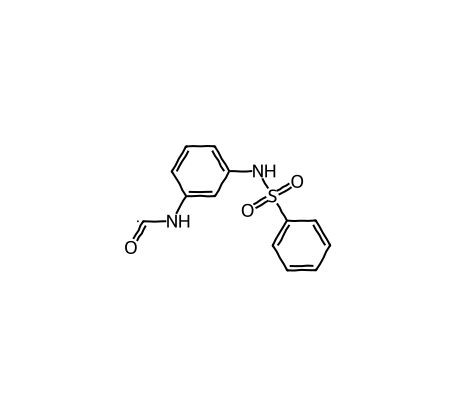 O=[C]Nc1cccc(NS(=O)(=O)c2ccccc2)c1